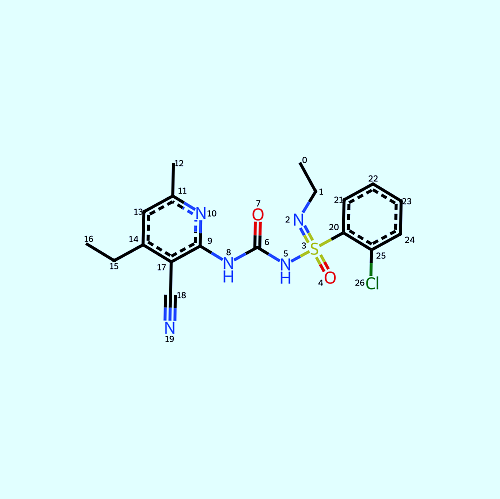 CCN=S(=O)(NC(=O)Nc1nc(C)cc(CC)c1C#N)c1ccccc1Cl